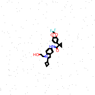 O=C(Nc1ccc2c(c1)cc(C1CCC1)n2CCO)C1(c2ccc3c(c2)OC(F)(F)O3)CC1